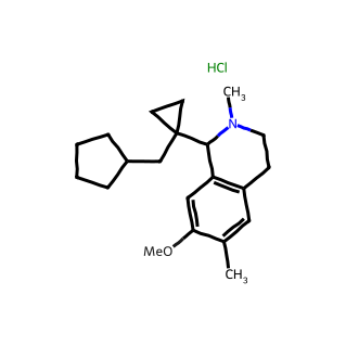 COc1cc2c(cc1C)CCN(C)C2C1(CC2CCCC2)CC1.Cl